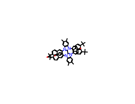 Cc1cc2c(cc1C)N(c1ccc3cc(C(C)(C)C)ccc3c1)C(C1N(c3ccc4cc(C(C)(C)C)ccc4c3)c3cc(C)c(C)cc3N1c1ccc3cc(C(C)(C)C)ccc3c1)N2c1ccc2cc(C(C)(C)C)ccc2c1